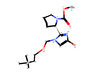 CC(C)(C)OC(=O)N1CCC[C@H]1c1nc(Br)cn1COCC[Si](C)(C)C